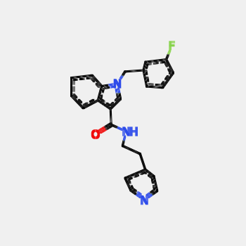 O=C(NCCc1ccncc1)c1cn(Cc2cccc(F)c2)c2ccccc12